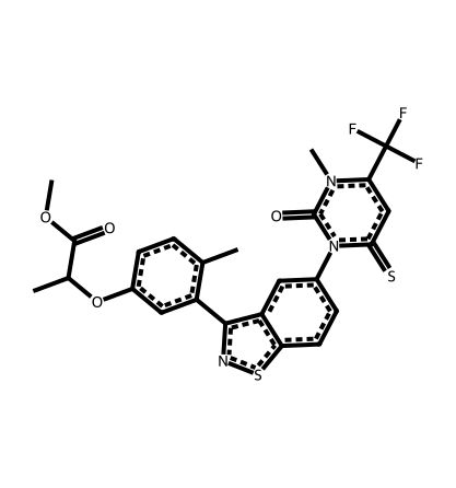 COC(=O)C(C)Oc1ccc(C)c(-c2nsc3ccc(-n4c(=S)cc(C(F)(F)F)n(C)c4=O)cc23)c1